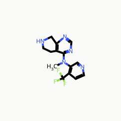 CN(c1cnccc1C(F)(F)F)c1ncnc2c1CCNC2